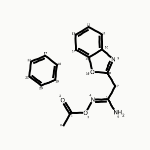 CC(=O)ON=C(N)Cc1nc2ccccc2o1.c1ccccc1